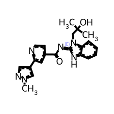 Cn1cc(-c2cc(C(=O)/N=c3\[nH]c4ccccc4n3CC(C)(C)O)ccn2)cn1